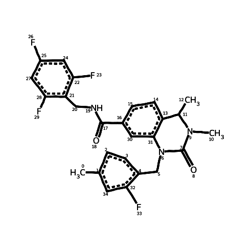 Cc1ccc(CN2C(=O)N(C)C(C)c3ccc(C(=O)NCc4c(F)cc(F)cc4F)cc32)c(F)c1